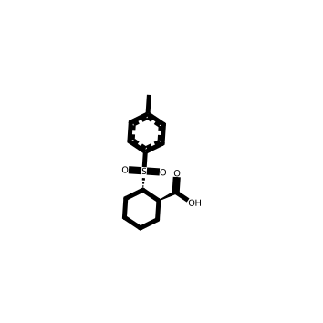 Cc1ccc(S(=O)(=O)[C@H]2CCCC[C@@H]2C(=O)O)cc1